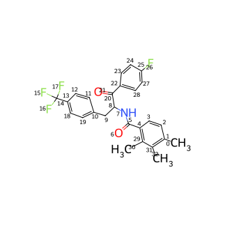 Cc1ccc(C(=O)NC(Cc2ccc(C(F)(F)F)cc2)C(=O)c2ccc(F)cc2)c(C)c1C